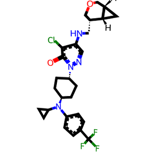 O=c1c(Cl)c(NC[C@@H]2COC[C@@H]3C[C@H]23)cnn1[C@H]1CC[C@H](N(c2ccc(C(F)(F)F)cc2)C2CC2)CC1